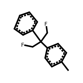 Cc1ccc(C(CF)(CF)c2ccccc2)cc1